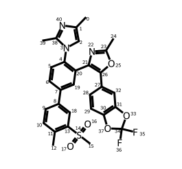 Cc1cn(-c2ccc(-c3ccc(C)c(S(C)(=O)=O)c3)cc2-c2nc(C)oc2-c2ccc3c(c2)OC(F)(F)O3)c(C)n1